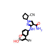 CC(C)C1=CB(O)Oc2ccc(Nc3nn([C@H]4CCC[C@@H]4C#N)cc3C(N)=O)cc21